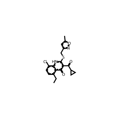 CCc1ccc(Cl)c2[nH]c(SCc3cc(C)on3)c(C(=O)C3CC3)c(=O)c12